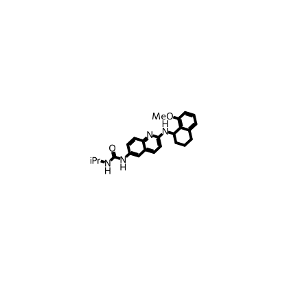 COc1cccc2c1C(Nc1ccc3cc(NC(=O)NC(C)C)ccc3n1)CCC2